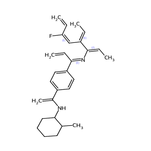 C=C\C(F)=C/C(=C\C)C(=C/C)/N=C(\C=C)c1ccc(C(=C)NC2CCCCC2C)cc1